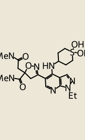 CCn1ncc2c(NC3CCS(O)(O)CC3)c(C3=NOC(CC(=O)NC)(C(=O)NC)C3)cnc21